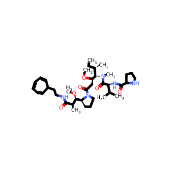 CC[C@H](C)[C@@H]([C@@H](CC(=O)N1CCC[C@H]1[C@H](OC)[C@@H](C)C(=O)NCCC1C=CC=CC=C1)OC)N(C)C(=O)[C@@H](NC(=O)C1CCCN1)C(C)C